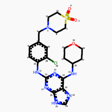 O=S1(=O)CCN(Cc2ccc(Nc3nc(NC4CCOCC4)c4nc[nH]c4n3)c(Cl)c2)CC1